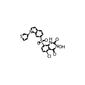 O=c1[nH]c2c(S(=O)(=O)c3ccc4ccn(-c5ccsc5)c4c3)ccc(Cl)c2c(=O)n1O